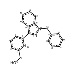 OCc1cccc(-c2nn(Cc3ccccc3)c3ccccc23)n1